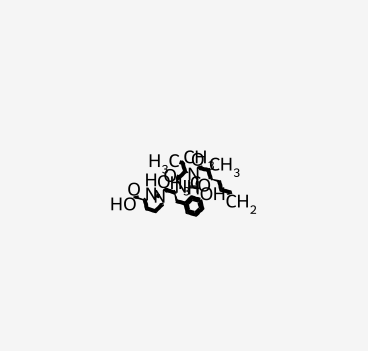 C=CCC[C@@H](OC)[C@@H](C)C(=O)N[C@H](C(=O)N[C@@H](Cc1cccc(O)c1)C(=O)N1CCC[C@@H](C(=O)O)N1)C(C)C